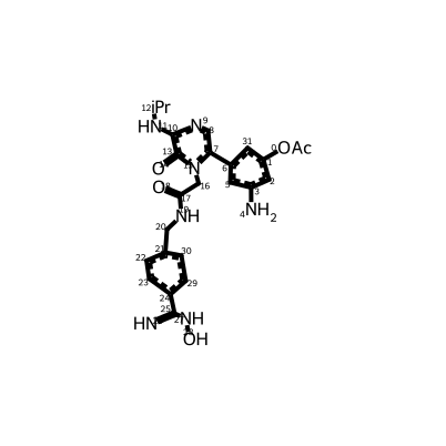 CC(=O)Oc1cc(N)cc(-c2cnc(NC(C)C)c(=O)n2CC(=O)NCc2ccc(C(=N)NO)cc2)c1